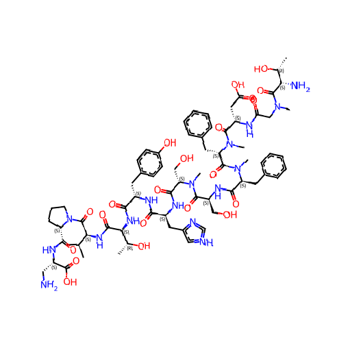 CC(C)[C@H](NC(=O)[C@@H](NC(=O)[C@H](Cc1ccc(O)cc1)NC(=O)[C@H](Cc1c[nH]cn1)NC(=O)[C@H](CO)N(C)C(=O)[C@H](CO)NC(=O)[C@H](Cc1ccccc1)N(C)C(=O)[C@H](Cc1ccccc1)N(C)C(=O)[C@H](CC(=O)O)NC(=O)CN(C)C(=O)[C@@H](N)[C@@H](C)O)[C@@H](C)O)C(=O)N1CCC[C@H]1C(=O)N[C@@H](CN)C(=O)O